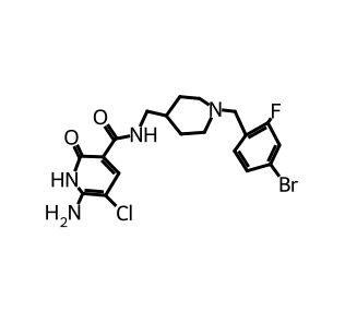 Nc1[nH]c(=O)c(C(=O)NCC2CCN(Cc3ccc(Br)cc3F)CC2)cc1Cl